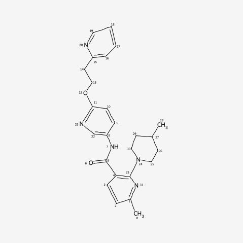 Cc1ccc(C(=O)Nc2ccc(OCCc3ccccn3)nc2)c(N2CCC(C)CC2)n1